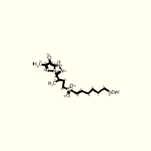 CCCCCCCCCCCCCCCCS(=O)(=O)CCC(C)c1n[nH]c2c(Cl)c(C)nn12